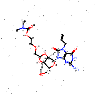 C=CCn1c(=O)n([C@@H]2O[C@H](CO)[C@H]3OC(COCCOC(=O)N(C)CCC)O[C@H]32)c2nc(N)[nH]c(=O)c21